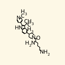 Cc1cc(-c2[nH]c3ccc(C4CCN(C(=O)C(N)CCCCN)CC4)cc3c2C(C)C)ccn1